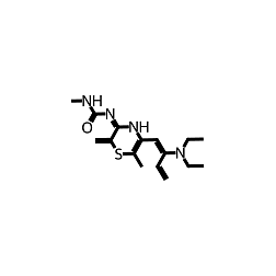 C=C/C(=C\C1=C(C)SC(=C)/C(=N\C(=O)NC)N1)N(CC)CC